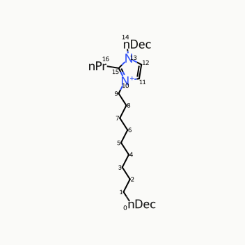 CCCCCCCCCCCCCCCCCCC[n+]1ccn(CCCCCCCCCC)c1CCC